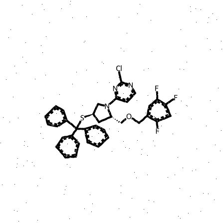 Fc1cc(F)c(COC[C@@H]2C[C@@H](SC(c3ccccc3)(c3ccccc3)c3ccccc3)CN2c2ccnc(Cl)n2)cc1F